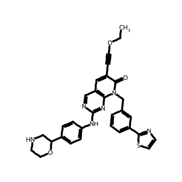 CCOC#Cc1cc2cnc(Nc3ccc(C4CNCCO4)cc3)nc2n(Cc2cccc(-c3nccs3)c2)c1=O